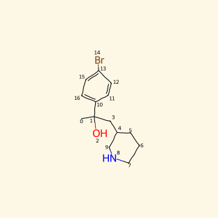 CC(O)(CC1CCCNC1)c1ccc(Br)cc1